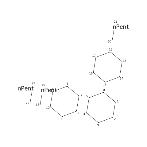 C1CCCCC1.C1CCCCC1.C1CCCCC1.CCCCCC.CCCCCC.CCCCCC